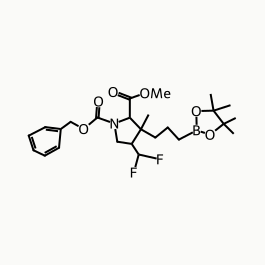 COC(=O)C1N(C(=O)OCc2ccccc2)CC(C(F)F)C1(C)CCCB1OC(C)(C)C(C)(C)O1